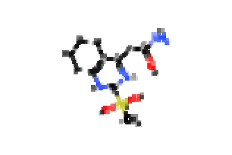 CS(=O)(=O)c1nc2c(c(CC(N)=O)n1)CCCC2